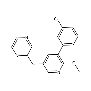 COc1ncc(Cc2cnccn2)cc1-c1cccc(Cl)c1